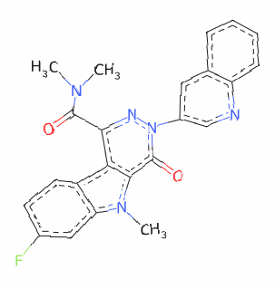 CN(C)C(=O)c1nn(-c2cnc3ccccc3c2)c(=O)c2c1c1ccc(F)cc1n2C